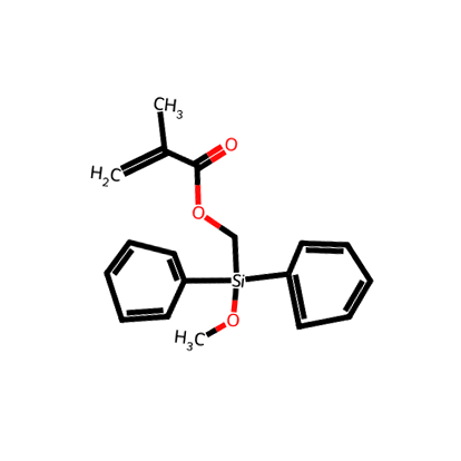 C=C(C)C(=O)OC[Si](OC)(c1ccccc1)c1ccccc1